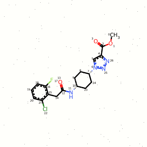 COC(=O)c1cn([C@H]2CC[C@@H](NC(=O)Cc3c(F)cccc3Cl)CC2)nn1